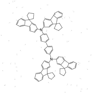 c1ccc2c(c1)-c1ccc(N(c3ccc(-c4ccc(N(c5ccc6c(c5)C5(CCCC5)c5ccccc5-6)c5ccc6c(c5)C5(CCCC5)c5ccccc5-6)cc4)cc3)c3ccc4c(c3)C3(CCCC3)c3ccccc3-4)cc1C21CCCC1